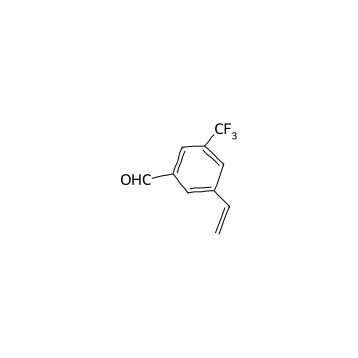 C=Cc1cc(C=O)cc(C(F)(F)F)c1